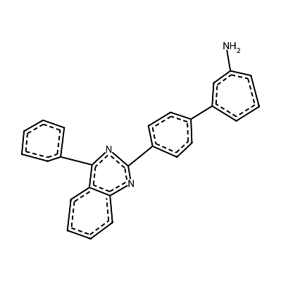 Nc1cccc(-c2ccc(-c3nc(-c4ccccc4)c4ccccc4n3)cc2)c1